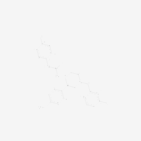 COc1ccc(C2CN(Cc3nccc(C)n3)CC[C@H]2NC(=O)Nc2ccc(Cl)cc2)cc1